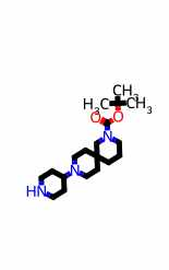 CC(C)(C)OC(=O)N1CCCC2(CCN(C3CCNCC3)CC2)C1